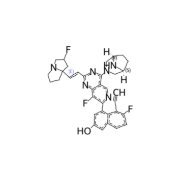 C#Cc1c(F)ccc2cc(O)cc(-c3ncc4c(N5C[C@H]6CC[C@@H](C5)N6)nc(/C=C/C56CCCN5CC(F)C6)nc4c3F)c12